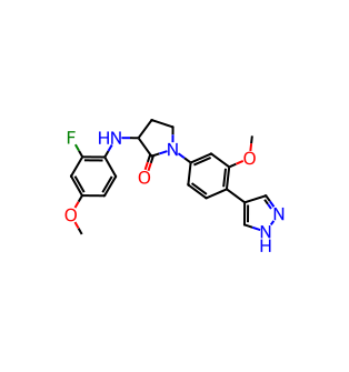 COc1ccc(NC2CCN(c3ccc(-c4cn[nH]c4)c(OC)c3)C2=O)c(F)c1